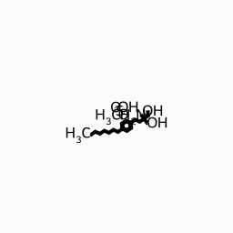 CCCCCCCCc1ccc(CCC(N)(CO)CO)cc1.CS(=O)(=O)O